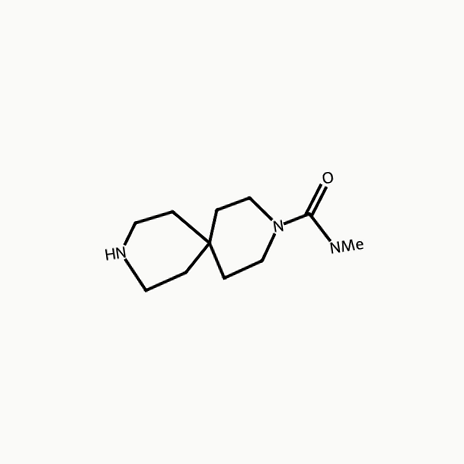 CNC(=O)N1CCC2(CCNCC2)CC1